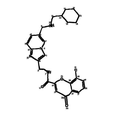 O=C(NCc1cn2cc(CNCC3CCCCC3)ccc2n1)c1cc(=O)c2cccc(Cl)c2o1